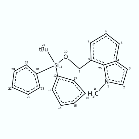 Cn1ccc2cccc(CO[Si](c3ccccc3)(c3ccccc3)C(C)(C)C)c21